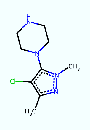 Cc1nn(C)c(N2CCNCC2)c1Cl